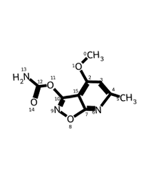 COc1cc(C)nc2onc(OC(N)=O)c12